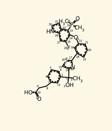 CC(O)(c1cccc(CCC(=O)O)c1)c1csc(-c2cccc(Oc3c(F)cc4[nH]ccc4c3P(C)(C)=O)c2)n1